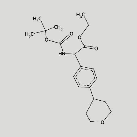 CCOC(=O)C(NC(=O)OC(C)(C)C)c1ccc(C2CCOCC2)cc1